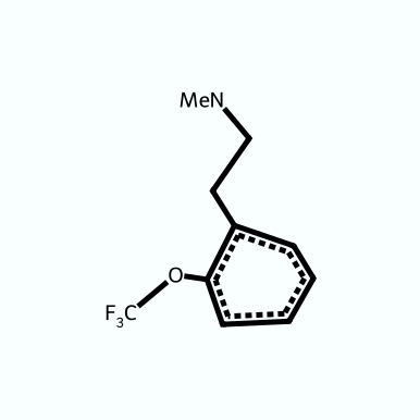 [CH2-][NH2+]CCc1ccccc1OC(F)(F)F